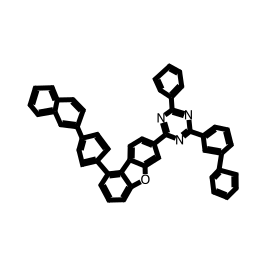 c1ccc(-c2cccc(-c3nc(-c4ccccc4)nc(-c4ccc5c(c4)oc4cccc(-c6ccc(-c7ccc8ccccc8c7)cc6)c45)n3)c2)cc1